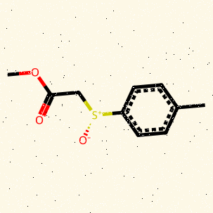 COC(=O)C[S@@+]([O-])c1ccc(C)cc1